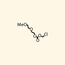 COCCOCCOC(=O)OCCl